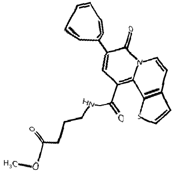 COC(=O)CCCNC(=O)c1cc(-c2ccccc2)c(=O)n2ccc3ccsc3c12